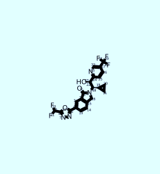 O=C1c2cc(-c3nnc(C(F)F)o3)ccc2CN1[C@H](C1CC1)[C@@H](O)c1ccc(C(F)(F)F)cn1